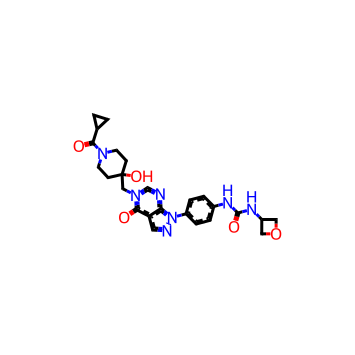 O=C(Nc1ccc(-n2ncc3c(=O)n(CC4(O)CCN(C(=O)C5CC5)CC4)cnc32)cc1)NC1COC1